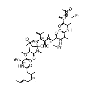 C=C(C)[C@H](NC(C=O)(CC(C)(C)O)N(C)C(=O)C(C)N(C)C(=O)[C@H](CCC)NC(=O)CC(C)[C@H](C)C/C=C/C)C(=O)N(C)[C@@H](CC(C)C)C(=O)NC(C)C(=O)NC(C)C(=O)[N+](=C)[C@@H](CC(C)C)[NH+](C)[O-]